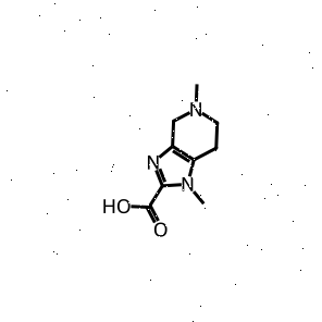 CN1CCc2c(nc(C(=O)O)n2C)C1